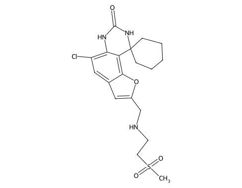 CS(=O)(=O)CCNCc1cc2cc(Cl)c3c(c2o1)C1(CCCCC1)NC(=O)N3